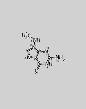 CNn1cnc2c(=O)[nH]c(N)nc21